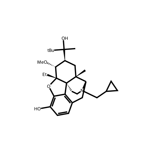 CC[C@]12Oc3c(O)ccc4c3[C@@]13CCN(CC1CC1)C(C4)[C@@]3(C)C[C@H](C(C)(O)C(C)(C)C)[C@H]2OC